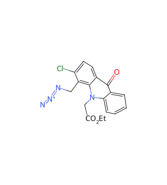 CCOC(=O)Cn1c2ccccc2c(=O)c2ccc(Cl)c(CN=[N+]=[N-])c21